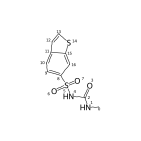 CNC(=O)NS(=O)(=O)c1ccc2ccsc2c1